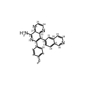 Nc1nc(-c2ccc(F)cc2)c(-c2ccc3cnccc3c2)c2nccnc12